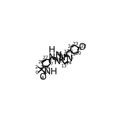 CC1(C)C(=O)Nc2cc(Nc3nc4ccnc(CC5CCC(=O)CC5)n4n3)ccc21